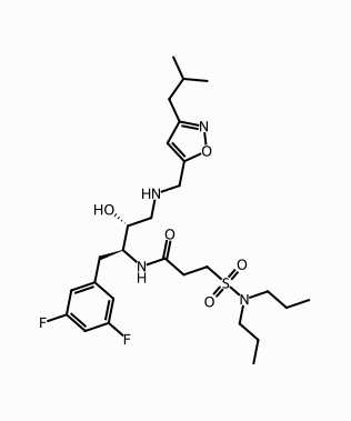 CCCN(CCC)S(=O)(=O)CCC(=O)N[C@@H](Cc1cc(F)cc(F)c1)[C@H](O)CNCc1cc(CC(C)C)no1